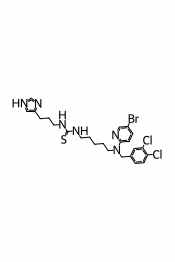 S=C(NCCCCCN(Cc1ccc(Cl)c(Cl)c1)c1ccc(Br)cn1)NCCCc1c[nH]cn1